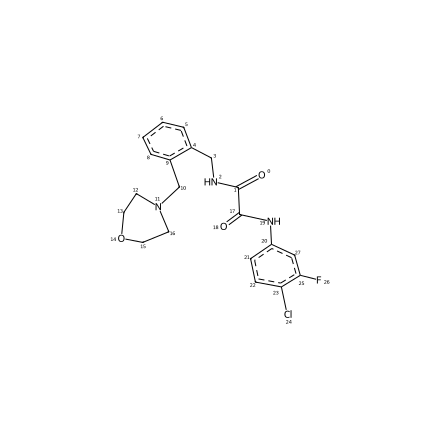 O=C(NCc1ccccc1CN1CCOCC1)C(=O)Nc1ccc(Cl)c(F)c1